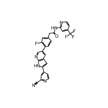 N#Cc1cc(-c2cc3cc(-c4ccc(CC(=O)Nc5cc(C(F)(F)F)ccn5)cc4F)cnc3[nH]2)ccn1